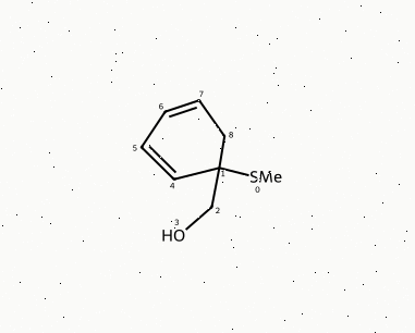 CSC1(CO)C=CC=CC1